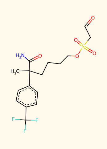 CC(CCCCOS(=O)(=O)CC=O)(C(N)=O)c1ccc(C(F)(F)F)cc1